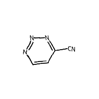 N#Cc1ccnnn1